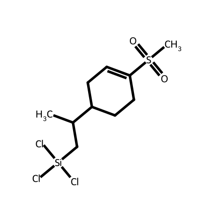 CC(C[Si](Cl)(Cl)Cl)C1CC=C(S(C)(=O)=O)CC1